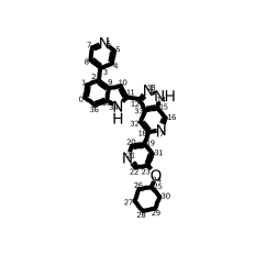 c1cc(-c2ccncc2)c2cc(-c3n[nH]c4cnc(-c5cncc(OC6CCCCC6)c5)cc34)[nH]c2c1